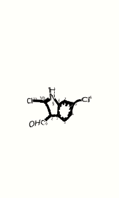 O=CC1c2ccc(Cl)cc2NC1Cl